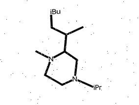 CCC(C)CC(C)C1CN(C(C)C)CCN1C